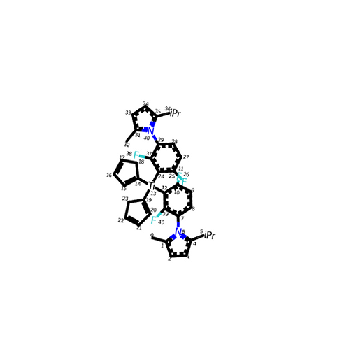 Cc1ccc(C(C)C)n1-c1ccc(F)[c]([Ti]([C]2=CC=CC2)([C]2=CC=CC2)[c]2c(F)ccc(-n3c(C)ccc3C(C)C)c2F)c1F